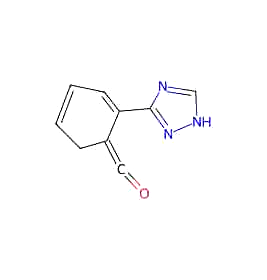 O=C=C1CC=CC=C1c1nc[nH]n1